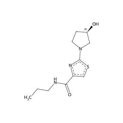 CCCNC(=O)c1csc(N2CC[C@@H](O)C2)n1